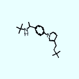 CC(NC(C)(C)C)c1ccc(N2CCC(CCC(C)(C)C)C2)cc1